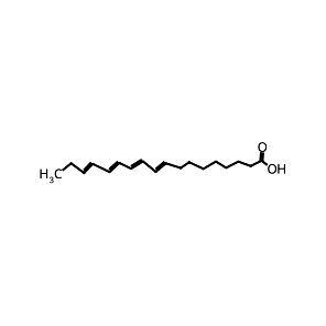 CCC=CC=CC=CC=CCCCCCCCC(=O)O